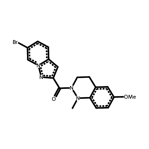 COc1ccc2c(c1)CCN(C(=O)c1cc3ccc(Br)cn3n1)N2C